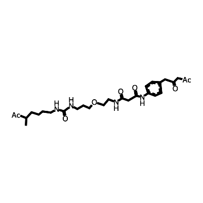 CC(=O)CC(=O)Cc1ccc(NC(=O)CC(=O)NCCOCCCNC(=O)NCCCCC(C)C(C)=O)cc1